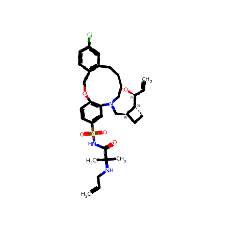 C=CCNC(C)(C)C(=O)NS(=O)(=O)c1ccc2c(c1)N(C[C@@H]1CC[C@H]1[C@@H](O)C=C)CCCCc1cc(Cl)ccc1CO2